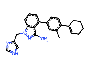 Cc1cc(-c2cccc3c2c(N)nn3Cc2c[nH]cn2)ccc1C1=CCCCC1